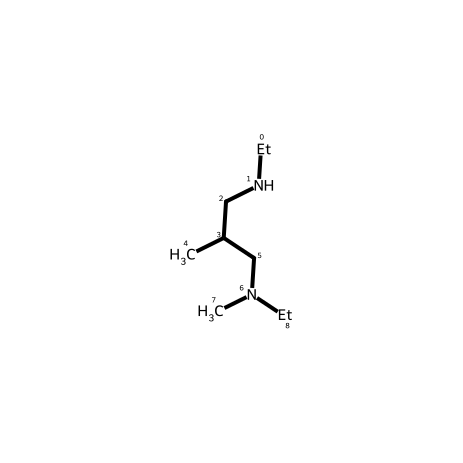 CCNCC(C)CN(C)CC